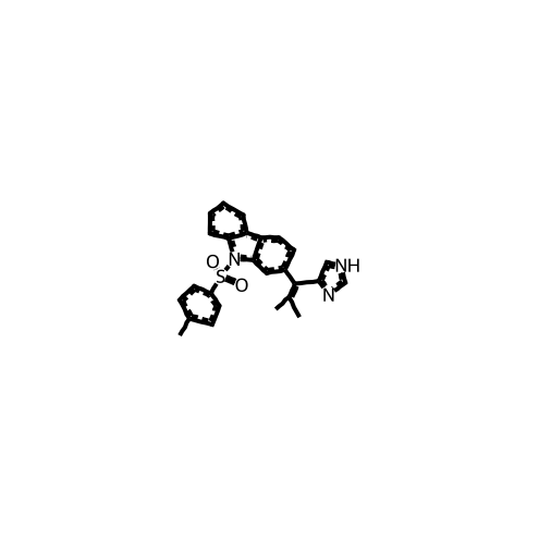 CC(C)=C(c1ccc2c3ccccc3n(S(=O)(=O)c3ccc(C)cc3)c2c1)c1c[nH]cn1